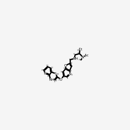 C=C(Oc1cnc2cc(CNCC(CC)N(C)C(C)=O)oc2c1)Sc1cccnc1N